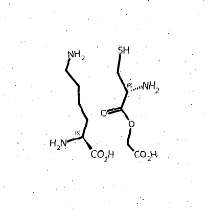 NCCCC[C@H](N)C(=O)O.N[C@@H](CS)C(=O)OCC(=O)O